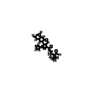 [2H]C([2H])([2H])N(CCNC(=O)c1nn(-c2ccsc2)c2c1COc1cc(OC)c(C=C(C)C)cc1-2)C(C)=O